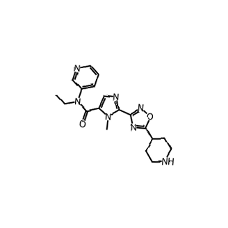 CCN(C(=O)c1cnc(-c2noc(C3CCNCC3)n2)n1C)c1cccnc1